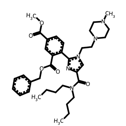 CCCCN(CCCC)C(=O)c1cn(CCN2CCN(C)CC2)c(-c2ccc(C(=O)OC)cc2C(=O)OCc2ccccc2)n1